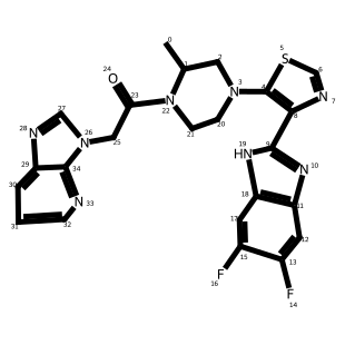 CC1CN(c2scnc2-c2nc3cc(F)c(F)cc3[nH]2)CCN1C(=O)Cn1cnc2cccnc21